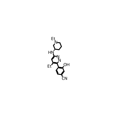 CCc1cc(N[C@@H]2CCCN(CC)C2)nnc1-c1ccc(C#N)cc1O